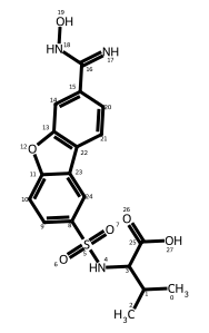 CC(C)C(NS(=O)(=O)c1ccc2oc3cc(C(=N)NO)ccc3c2c1)C(=O)O